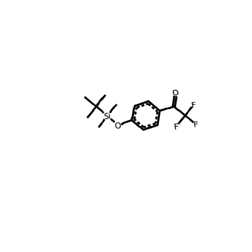 CC(C)(C)[Si](C)(C)Oc1ccc(C(=O)C(F)(F)F)cc1